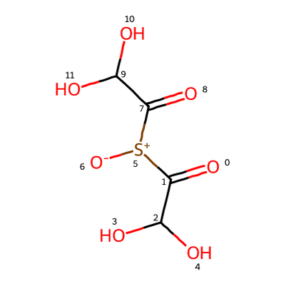 O=C(C(O)O)[S+]([O-])C(=O)C(O)O